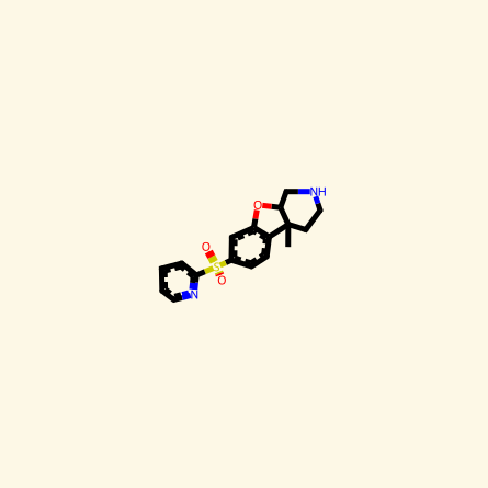 CC12CCNCC1Oc1cc(S(=O)(=O)c3ccccn3)ccc12